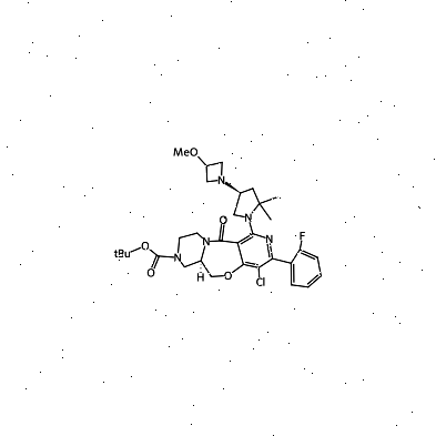 COC1CN([C@@H]2CN(c3nc(-c4ccccc4F)c(Cl)c4c3C(=O)N3CCN(C(=O)OC(C)(C)C)C[C@@H]3CO4)C(C)(C)C2)C1